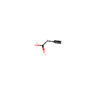 [C]#CCC(=O)O